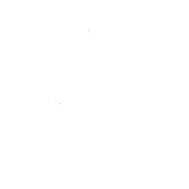 O=C(O)CCc1c(O)c2cc(F)ccc2[n+]2ccccc12